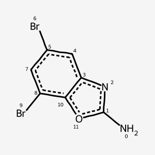 Nc1nc2cc(Br)cc(Br)c2o1